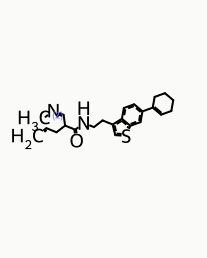 C=CCC(/C=N\C)C(=O)NCCc1csc2cc(C3=CCCCC3)ccc12